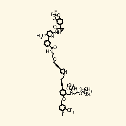 Cc1ccc(NC(=O)C2(c3ccc4c(c3)OC(F)(F)O4)CC2)nc1-c1cccc(C(=O)NCCOCC#Cc2cnn(CCC#Cc3ccc(OCc4ccc(F)c(C(F)(F)F)c4)c(CN(CCO[Si](C)(C)C(C)(C)C)C(=O)OC(C)(C)C)c3)c2)c1